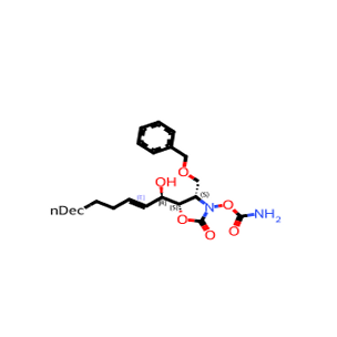 CCCCCCCCCCCC/C=C/[C@@H](O)[C@H]1OC(=O)N(OC(N)=O)[C@H]1COCc1ccccc1